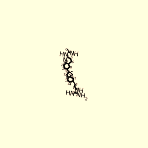 CC(=N)Nc1ccc2cc(-c3cc4ccc(/C=C/NC(=N)N)cc4s3)ccc2n1